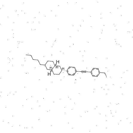 CCCCCC1CC[C@@H]2C[C@H](c3ccc(C#Cc4ccc(CC)cc4)cc3)CC[C@@H]2C1